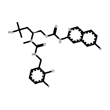 CN(C(=O)NCc1cccc(F)c1Cl)[C@H](COC(=O)Nc1cc2cc(F)ccc2cn1)CC(C)(C)O